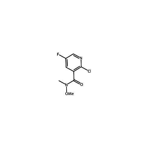 CON(C)C(=O)c1cc(F)cnc1Cl